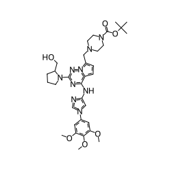 COc1cc(-n2cnc(Nc3nc(N4CCCC4CO)nn4c(CN5CCN(C(=O)OC(C)(C)C)CC5)ccc34)c2)cc(OC)c1OC